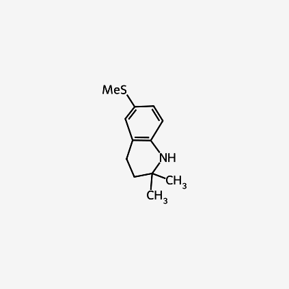 CSc1ccc2c(c1)CCC(C)(C)N2